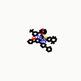 CC(C)(C)c1ccc(N2c3c(sc4ccccc34)Bc3c(-c4ccc(-c5ccccc5)cc4Nc4ccc5c(c4)C(C)(C)CCC5(C)C)cc4c(oc5ccccc54)c32)c(-c2ccccc2)c1